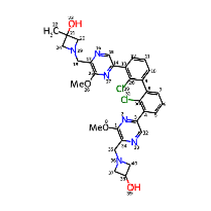 COc1nc(-c2cccc(-c3cccc(-c4cnc(CN5CC(C)(O)C5)c(OC)n4)c3Cl)c2Cl)cnc1CN1CC(O)C1